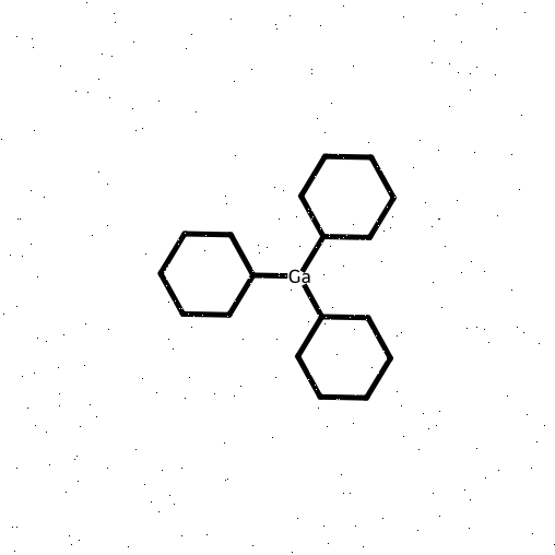 C1CC[CH]([Ga]([CH]2CCCCC2)[CH]2CCCCC2)CC1